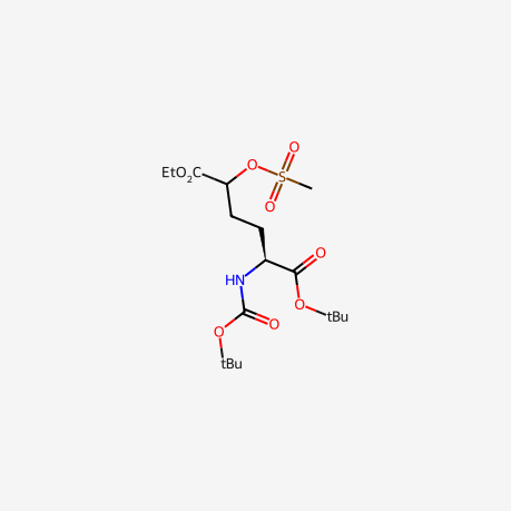 CCOC(=O)C(CC[C@H](NC(=O)OC(C)(C)C)C(=O)OC(C)(C)C)OS(C)(=O)=O